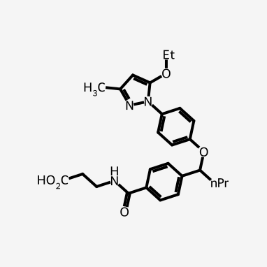 CCCC(Oc1ccc(-n2nc(C)cc2OCC)cc1)c1ccc(C(=O)NCCC(=O)O)cc1